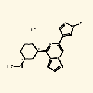 CN[C@H]1CCC[C@@H](c2nc(-c3cnn(C)c3)cn3nccc23)C1.Cl